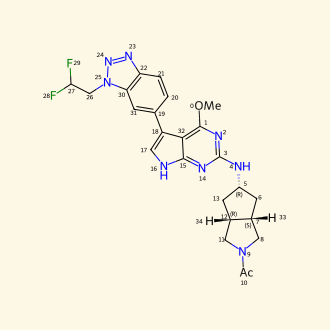 COc1nc(N[C@@H]2C[C@@H]3CN(C(C)=O)C[C@@H]3C2)nc2[nH]cc(-c3ccc4nnn(CC(F)F)c4c3)c12